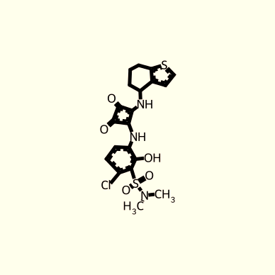 CN(C)S(=O)(=O)c1c(Cl)ccc(Nc2c(NC3CCCc4sccc43)c(=O)c2=O)c1O